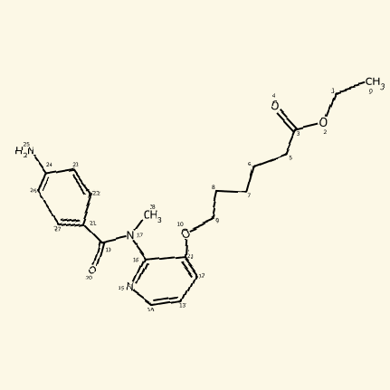 CCOC(=O)CCCCCOc1cccnc1N(C)C(=O)c1ccc(N)cc1